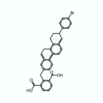 O=C(O)c1cccc(C(=O)O)c1Cc1ccc2c(c1)=CCc1c3c(ccc1=2)=CC(c1ccc(Br)cc1)CC3